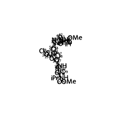 COC(=O)N[C@H](C(=O)N1CCC[C@H]1c1ncc(-c2cc3c4c(c2)OC(c2ccc(Cl)s2)n2c-4c(c4cc(-c5cnc([C@@H]6CCCN6C(=O)[C@@H](NC(=O)OC)C(C)C)[nH]5)ccc42)CC3)[nH]1)C(C)C